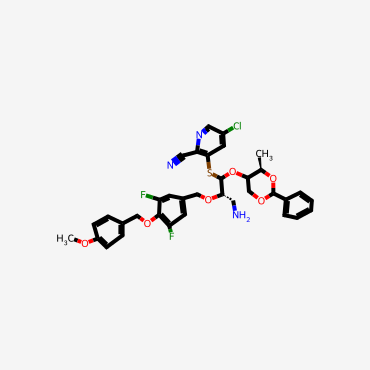 COc1ccc(COc2c(F)cc(CO[C@@H](CN)C(OC3COC(c4ccccc4)O[C@@H]3C)Sc3cc(Cl)cnc3C#N)cc2F)cc1